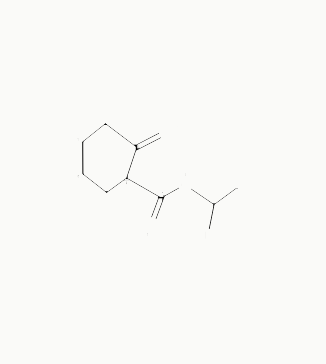 CCC(Br)OC(=O)C1CCCCC1=O